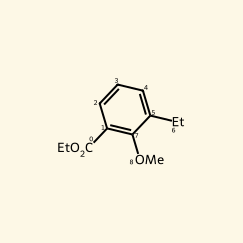 CCOC(=O)c1cccc(CC)c1OC